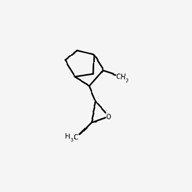 CC1OC1C1C2CCC(C2)C1C